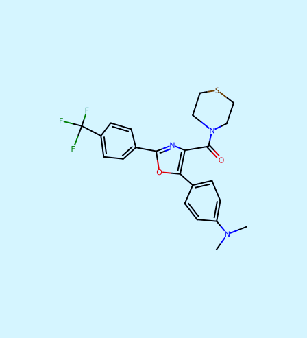 CN(C)c1ccc(-c2oc(-c3ccc(C(F)(F)F)cc3)nc2C(=O)N2CCSCC2)cc1